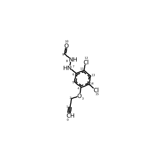 C#CCOc1cc(NNC=O)c(Cl)cc1Cl